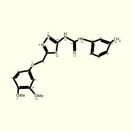 COc1ccc(OCc2nnc(NC(=O)Nc3cccc(C)c3)s2)cc1OC